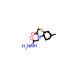 Cc1ccc2c(c1)SCC(=O)N2CC(=O)NN